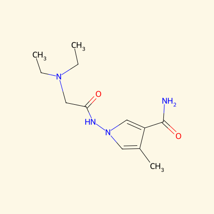 CCN(CC)CC(=O)Nn1cc(C)c(C(N)=O)c1